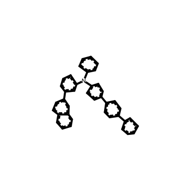 c1ccc(-c2ccc(-c3ccc(N(c4ccccc4)c4cccc(-c5ccc6ccccc6c5)c4)cc3)cc2)cc1